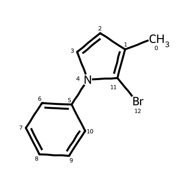 Cc1ccn(-c2ccccc2)c1Br